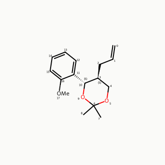 C=CC[C@H]1COC(C)(C)O[C@@H]1c1ccccc1OC